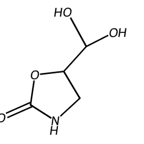 O=C1NCC(C(O)O)O1